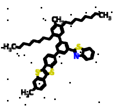 CCCCCCCCc1cc(-c2cc(-c3ccc4c(c3)sc3c5ccc(C)cc5sc43)cc(-c3nc4ccccc4s3)c2)c(CCCCCCCC)cc1C